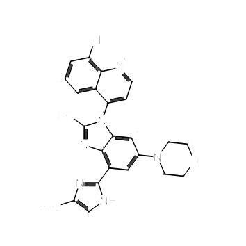 Cc1c[nH]c(-c2cc(N3CCOCC3)cc3c2nc(C)n3-c2ccnc3c(Cl)cccc23)n1